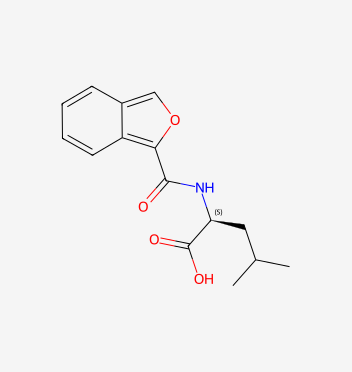 CC(C)C[C@H](NC(=O)c1occ2ccccc12)C(=O)O